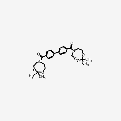 CC1(C)OCCN(C(=O)c2ccc(-c3ccc(C(=O)N4CCOC(C)(C)OCC4)cc3)cc2)CCO1